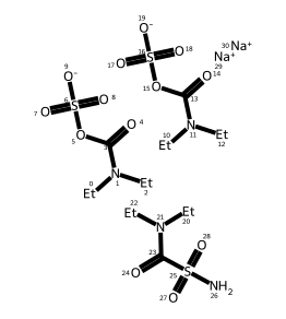 CCN(CC)C(=O)OS(=O)(=O)[O-].CCN(CC)C(=O)OS(=O)(=O)[O-].CCN(CC)C(=O)S(N)(=O)=O.[Na+].[Na+]